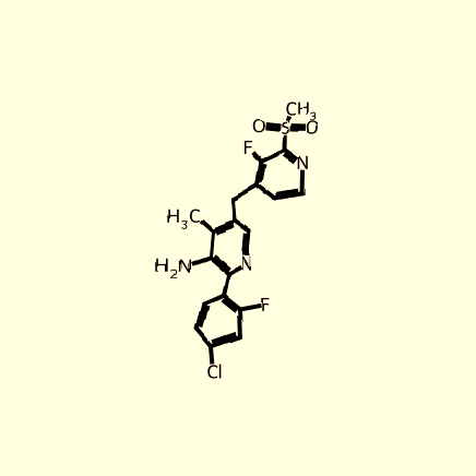 Cc1c(Cc2ccnc(S(C)(=O)=O)c2F)cnc(-c2ccc(Cl)cc2F)c1N